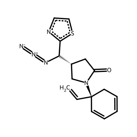 C=C[C@@]1(N2C[C@H](C(N=[N+]=[N-])c3nccs3)CC2=O)C=CC=CC1